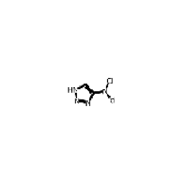 ClN(Cl)c1c[nH]nn1